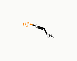 CC=BP